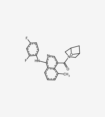 Cc1cccc2c(Nc3ccc(F)cc3F)ncc(C(=O)N3CC4CC(C3)O4)c12